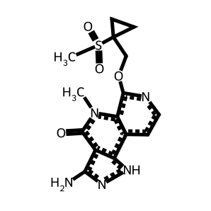 Cn1c(=O)c2c(N)n[nH]c2c2ccnc(OCC3(S(C)(=O)=O)CC3)c21